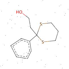 OCCC1(c2ccccc2)SCCCS1